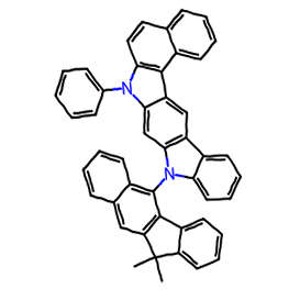 CC1(C)c2ccccc2-c2c1cc1ccccc1c2-n1c2ccccc2c2cc3c4c5ccccc5ccc4n(-c4ccccc4)c3cc21